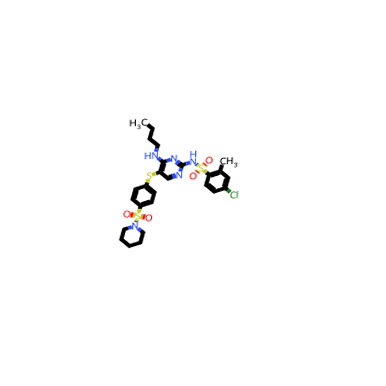 CCCCNc1nc(NS(=O)(=O)c2ccc(Cl)cc2C)ncc1Sc1ccc(S(=O)(=O)N2CCCCC2)cc1